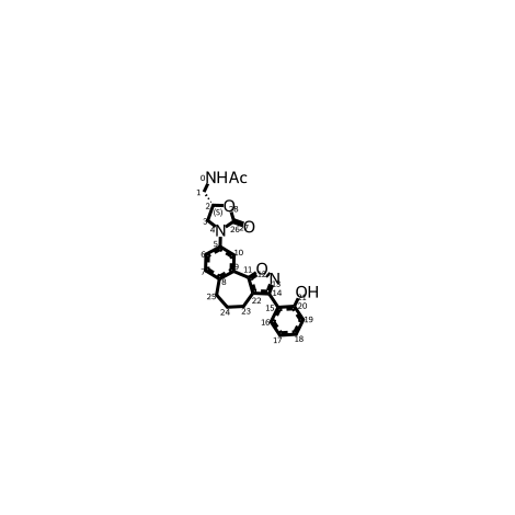 CC(=O)NC[C@H]1CN(c2ccc3c(c2)-c2onc(-c4ccccc4O)c2CCC3)C(=O)O1